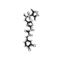 Cc1noc(C)c1S(=O)(=O)N(C)Cc1csc(NC(=O)NCc2ccc(Cl)c(Cl)c2)n1